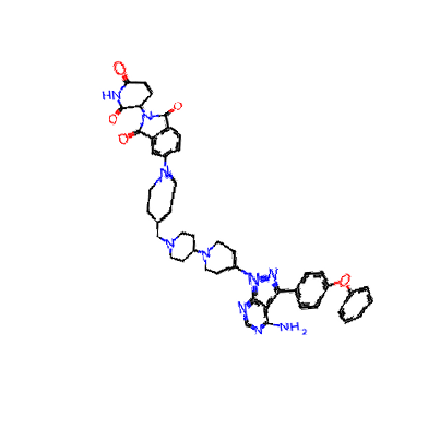 Nc1ncnc2c1c(-c1ccc(Oc3ccccc3)cc1)nn2C1CCN(C2CCN(CC3CCN(c4ccc5c(c4)C(=O)N(C4CCC(=O)NC4=O)C5=O)CC3)CC2)CC1